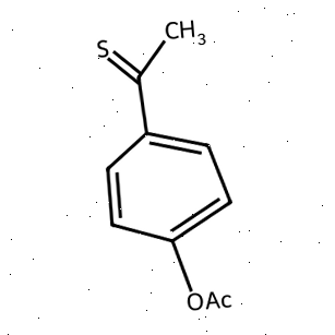 CC(=O)Oc1ccc(C(C)=S)cc1